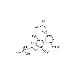 CCCC(O)O.CCCC(O)O.CCCC(O)O.Nc1ccc(C(=O)O)cc1.Nc1ccc(C(=O)O)cc1